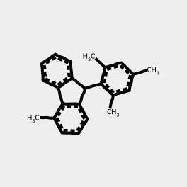 Cc1cc(C)c(C2c3ccccc3-c3c(C)cccc32)c(C)c1